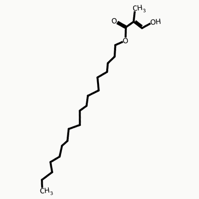 CCCCCCCCCCCCCCCCCCOC(=O)C(C)=CO